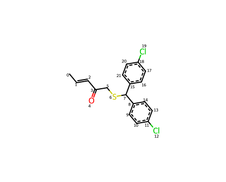 C/C=C/C(=O)CSC(c1ccc(Cl)cc1)c1ccc(Cl)cc1